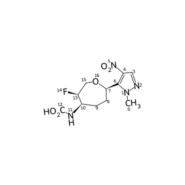 Cn1ncc([N+](=O)[O-])c1[C@H]1CC[C@@H](NC(=O)O)[C@@H](F)CO1